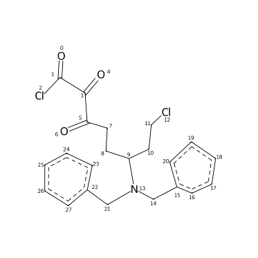 O=C(Cl)C(=O)C(=O)CCC(CCCl)N(Cc1ccccc1)Cc1ccccc1